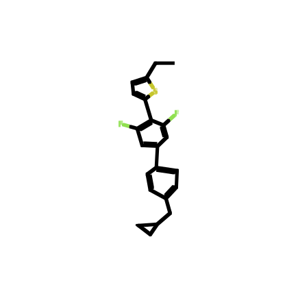 CCc1ccc(-c2c(F)cc(-c3ccc(CC4CC4)cc3)cc2F)s1